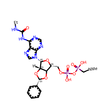 CCNC(=O)Nc1ncnc2c1ncn2[C@@H]1O[C@H](COP(=O)(O)OP(=O)(O)CNC)C2O[C@H](c3ccccc3)O[C@@H]21